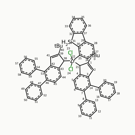 CC(C)(C)C1=Cc2c(ccc(-c3ccccc3)c2-c2ccccc2)[CH]1[Zr]([Cl])([Cl])([c]1cccc2c1[SiH2]c1ccccc1-2)[CH]1C(C(C)(C)C)=Cc2c1ccc(-c1ccccc1)c2-c1ccccc1